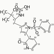 CC(C)(C)C(Cc1cc(-c2cccnc2Cl)n(S(=O)(=O)c2ccccc2)c1)NC(=O)O